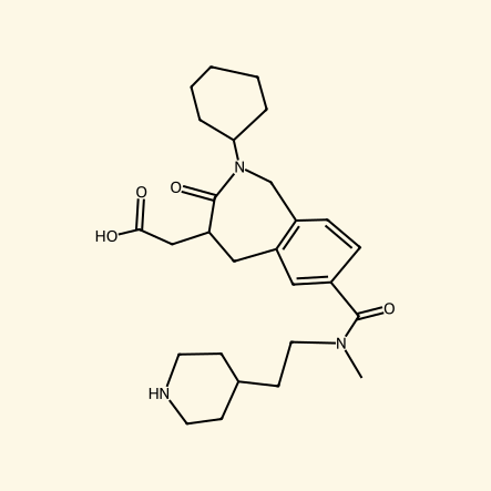 CN(CCC1CCNCC1)C(=O)c1ccc2c(c1)CC(CC(=O)O)C(=O)N(C1CCCCC1)C2